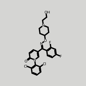 O=c1ccc(C(=NOC2CCN(CCO)CC2)c2ccc(F)cc2F)cn1-c1c(Cl)cccc1Cl